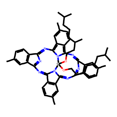 Cc1ccc2c(c1)C1=NC/2=N\c2c3cc(C)ccc3c3n2[Si](OCCC(C)CCCC(C)C)(OCCC(C)CCCC(C)C)n2/c(c4ccc(C)cc4/c2=N/C2=NC(=N\3)/c3cc(C)ccc32)=N\1